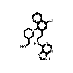 OCC1CCCN(c2c(CCNc3ncnc4[nH]cnc34)cc(Cl)c3cccnc23)C1